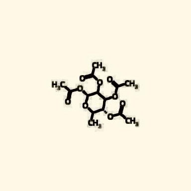 CC(=O)OC1C(OC(C)=O)[C@H](OC(C)=O)C(C)O[C@H]1OC(C)=O